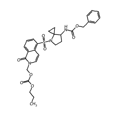 CCCOC(=O)OCn1ccc2c(S(=O)(=O)N3CCC(NC(=O)OCc4ccccc4)C34CC4)cccc2c1=O